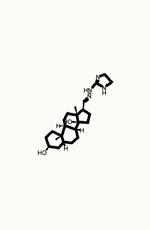 C[C@]12CC[C@H](O)C[C@H]1CC[C@@H]1[C@@H]2CC[C@]2(C)[C@@H](/C=N/NC3=NCCN3)CC[C@]12O